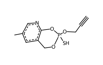 C#CCO[P]1(S)OCc2cc(C)cnc2O1